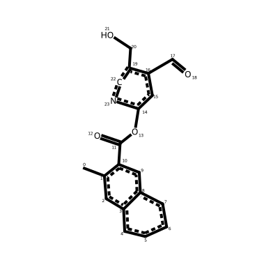 Cc1cc2ccccc2cc1C(=O)Oc1cc(C=O)c(CO)cn1